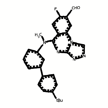 CN(c1cccc(-c2ccc(C(C)(C)C)cc2)c1)c1nc2nncn2c2cc(C=O)c(F)cc12